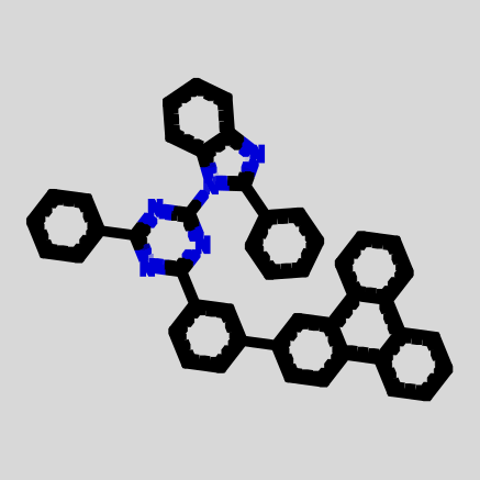 c1ccc(-c2nc(-c3cccc(-c4ccc5c6ccccc6c6ccccc6c5c4)c3)nc(-n3c(-c4ccccc4)nc4ccccc43)n2)cc1